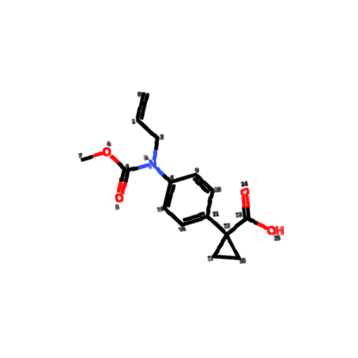 C=CCN(C(=O)OC)c1ccc(C2(C(=O)O)CC2)cc1